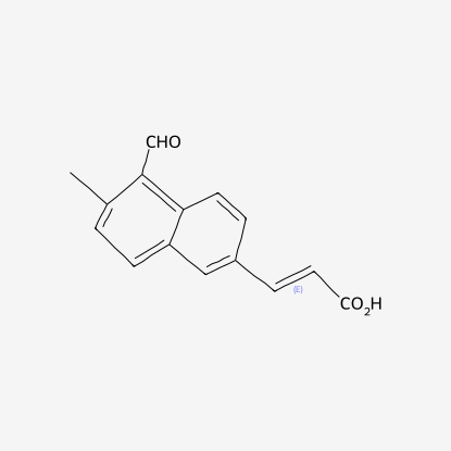 Cc1ccc2cc(/C=C/C(=O)O)ccc2c1C=O